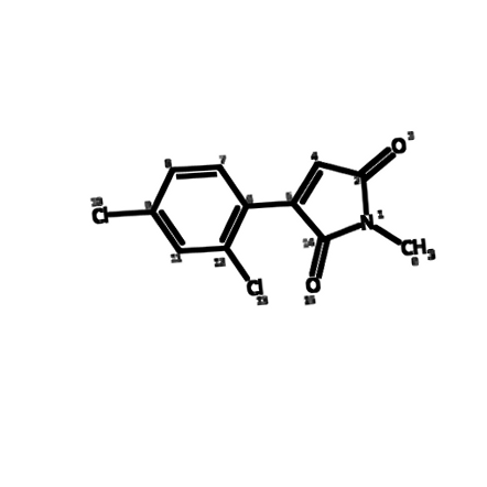 CN1C(=O)C=C(c2ccc(Cl)cc2Cl)C1=O